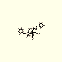 C=C1CC2(C(=O)OCc3ccccc3)CCCC3(C(=O)OCc4ccccc4)CC(=O)O[C@@]23C1